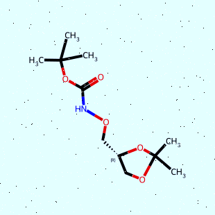 CC(C)(C)OC(=O)NOC[C@H]1COC(C)(C)O1